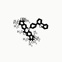 CC1(C)c2cc3c(cc2N(c2ccc(-c4cccc5c4oc4ccccc45)cc2)c2cc4c(cc21)C(C)(C)C(C)(C)C4(C)C)C(C)(C)C(C)(C)C3(C)C